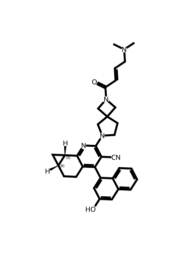 CN(C)CC=CC(=O)N1CC2(CCN(c3nc4c(c(-c5cc(O)cc6ccccc56)c3C#N)CC[C@@H]3C[C@H]43)C2)C1